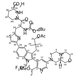 COC(C)c1ncc(N2CCN3CCOC[C@@H]3C2)cc1-c1c(CC(C)(C)COC(C)=O)c2cc(-c3csc(CC(NC(=O)OC(C)(C)C)C(=O)N4CCC[C@@H](C(=O)O)N4)n3)ccc2n1CC(F)(F)F